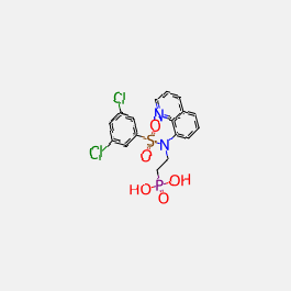 O=P(O)(O)CCN(c1cccc2cccnc12)S(=O)(=O)c1cc(Cl)cc(Cl)c1